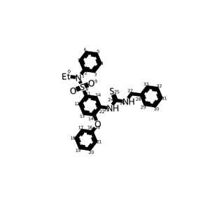 CCN(c1ccccc1)S(=O)(=O)c1ccc(Oc2ccccc2)c(NC(=S)NCc2ccccc2)c1